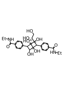 CCNC(=O)c1ccc(C2C(O)[C@@]3(O)C(c4ccc(C(=O)NCC)cc4)[C@@](O)([C@H](O)CO)[C@@]23O)cc1